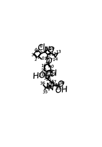 Cc1cccc(Cl)c1-c1noc(C2CC2)c1COc1ccc(C2(O)CC(c3cc(C(=O)O)nn3C(C)C)C2)c(Cl)c1